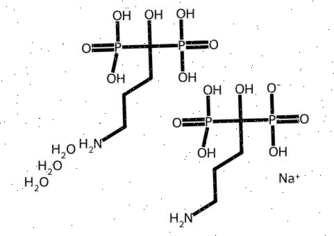 NCCCC(O)(P(=O)(O)O)P(=O)(O)O.NCCCC(O)(P(=O)([O-])O)P(=O)(O)O.O.O.O.[Na+]